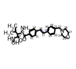 CC(C)C(C(=O)NO)N(N)C(=O)c1ccc(/C=C/c2ccc(CN3CCOCC3)cc2)cc1